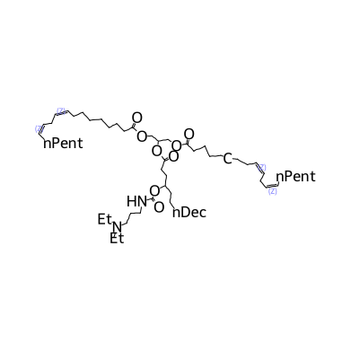 CCCCC/C=C\C/C=C\CCCCCCCC(=O)OCC(COC(=O)CCCCCCC/C=C\C/C=C\CCCCC)OC(=O)CCC(CCCCCCCCCCCC)OC(=O)NCCCN(CC)CC